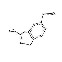 O=Nc1ccc2c(c1)C(O)CC2